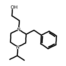 CC(C)N1CCN(CCO)C(Cc2ccccc2)C1